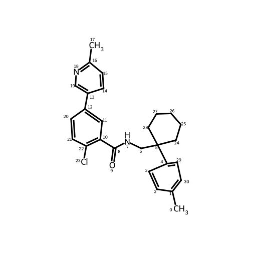 Cc1ccc(C2(CNC(=O)c3cc(-c4ccc(C)nc4)ccc3Cl)CCCCC2)cc1